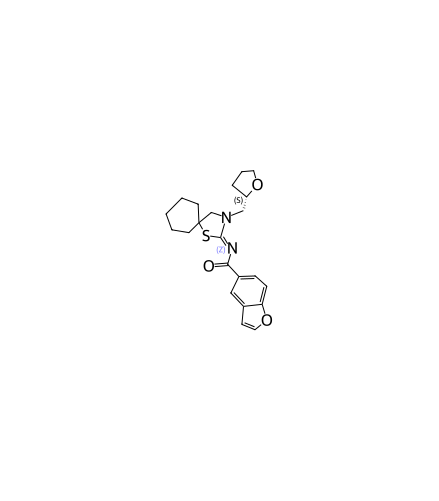 O=C(/N=C1\SC2(CCCCC2)CN1C[C@@H]1CCCO1)c1ccc2occc2c1